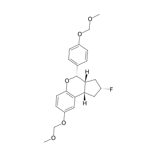 COCOc1ccc([C@H]2Oc3ccc(OCOC)cc3[C@H]3C[C@@H](F)C[C@H]32)cc1